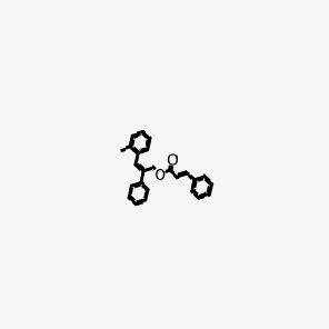 Cc1ccccc1C=C(COC(=O)C=Cc1ccccc1)c1ccccc1